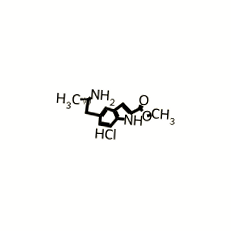 COC(=O)c1cc2cc(C[C@@H](C)N)ccc2[nH]1.Cl